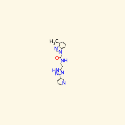 Cc1cccc2c1ncn2CC(=O)NCCc1nc(-c2cccnc2)n[nH]1